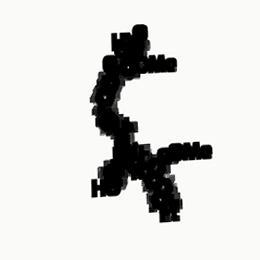 CCc1ccc2c(ccc3c4cc(OCOC)cc(-c5ncc6c(N7CCCC(C)(O)C7)nc(OCC7(CN8CCN(CC9CCC%10(CC9)CCN(C(=O)c9ccc(OC)c(N%11CCC(=O)NC%11=O)c9)CC%10)CC8)CC7)nc6c5F)c4ccc23)c1F